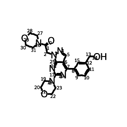 O=C(Cn1ncc2c(-c3cccc(CO)c3)nc(N3CCOCC3)nc21)N1CCOCC1